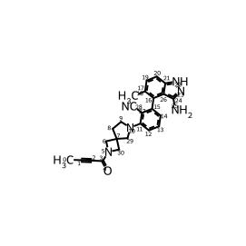 CC#CC(=O)N1CC2(CCN(c3cccc(-c4c(C)ccc5[nH]nc(N)c45)c3C#N)C2)C1